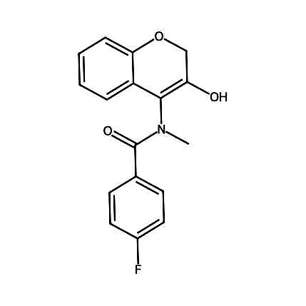 CN(C(=O)c1ccc(F)cc1)C1=C(O)COc2ccccc21